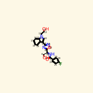 O=C(N[C@@H](CO)c1nc(-c2cn(CCO)c3ccccc23)no1)c1ccc(F)cc1